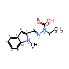 CCN(/N=C/c1cc2ccccc2n1C)C(=O)O